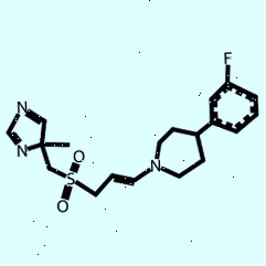 CC1(CS(=O)(=O)CC=CN2CCC(c3cccc(F)c3)CC2)C=NC=N1